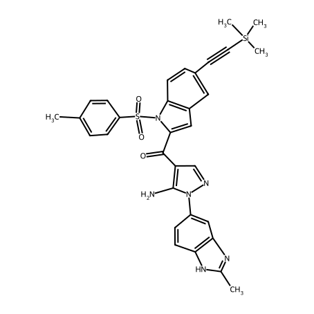 Cc1ccc(S(=O)(=O)n2c(C(=O)c3cnn(-c4ccc5[nH]c(C)nc5c4)c3N)cc3cc(C#C[Si](C)(C)C)ccc32)cc1